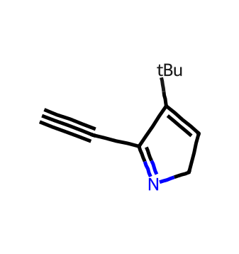 C#CC1=NCC=C1C(C)(C)C